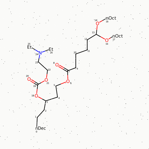 CCCCCCCCCCCCC(CCOC(=O)CCCCC(OCCCCCCCC)OCCCCCCCC)OC(=O)OCCN(CC)CC